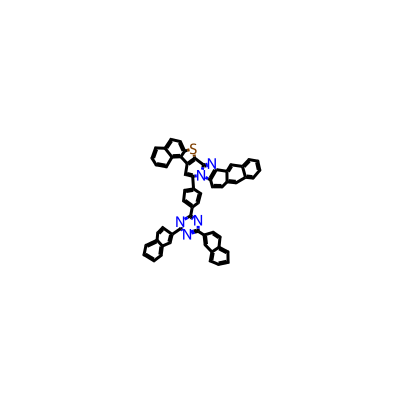 c1ccc2cc(-c3nc(-c4ccc(-c5cc6c(sc7ccc8ccccc8c76)c6nc7c8cc9ccccc9cc8ccc7n56)cc4)nc(-c4ccc5ccccc5c4)n3)ccc2c1